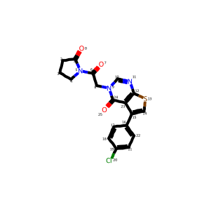 O=C1CCCN1C(=O)Cn1cnc2scc(-c3ccc(Cl)cc3)c2c1=O